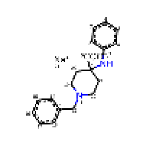 O=C([O-])C1(Nc2ccccc2)CCN(Cc2ccccc2)CC1.[Na+]